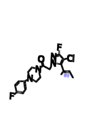 C/C=C(\C)c1c(Cl)c(F)nn1CC(=O)N1CCN(c2ccc(F)cc2)CC1